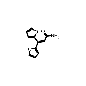 NC(=O)C=C(c1ccco1)c1ccco1